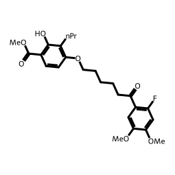 CCCc1c(OCCCCCC(=O)c2cc(OC)c(OC)cc2F)ccc(C(=O)OC)c1O